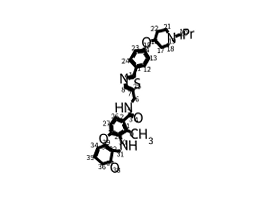 Cc1c(C(=O)NCc2cnc(-c3ccc(OC4CCN(C(C)C)CC4)cc3)s2)ccc2c1NCC1=C(C=CCC1=O)O2